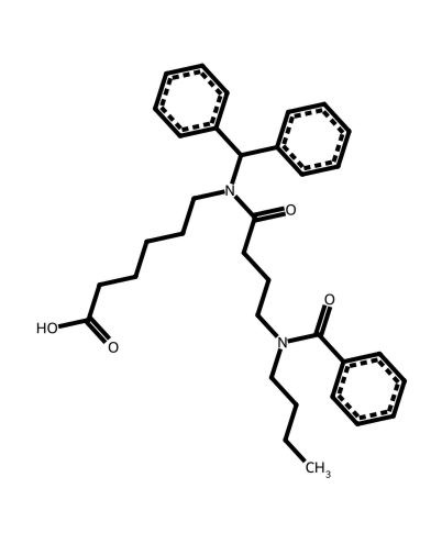 CCCCN(CCCC(=O)N(CCCCCC(=O)O)C(c1ccccc1)c1ccccc1)C(=O)c1ccccc1